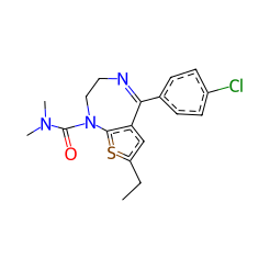 CCc1cc2c(s1)N(C(=O)N(C)C)CCN=C2c1ccc(Cl)cc1